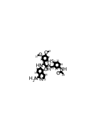 COc1ccc([C@H](Nc2ccc3c(N)nccc3c2)C(=O)NCc2cc(NC(C)=O)ccc2S)cc1OC